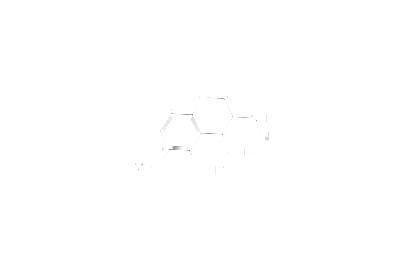 CCCNC1COc2ccc(OC)cc2C1O.Cl